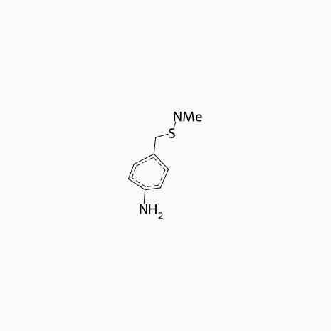 CNSCc1ccc(N)cc1